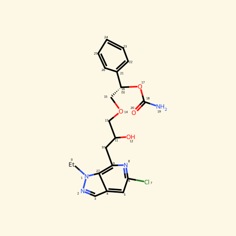 CCn1ncc2cc(Cl)nc(CC(O)COC[C@@H](OC(N)=O)c3ccccc3)c21